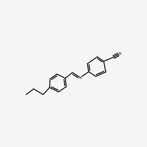 CCCc1ccc(C=Nc2ccc(C#N)cc2)cc1